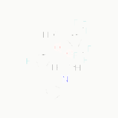 C[C@@H](O[C@H]1OC[C@@H]2CN(Cc3ccccc3)C[C@H]2[C@@H]1c1ccc(F)cc1)c1cc(C(F)(F)F)cc(C(F)(F)F)c1